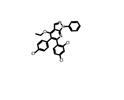 CCOc1c(-c2ccc(Cl)cc2)c(-c2ccc(Cl)cc2Cl)nc2c1cnn2-c1ccccc1